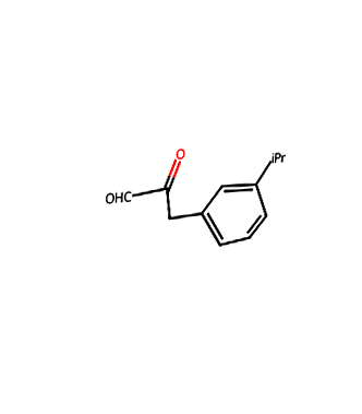 CC(C)c1cccc(CC(=O)C=O)c1